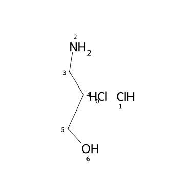 Cl.Cl.NCCCO